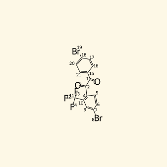 O=C(C(=O)c1ccc(Br)cc1C(F)(F)F)c1ccc(Br)cc1